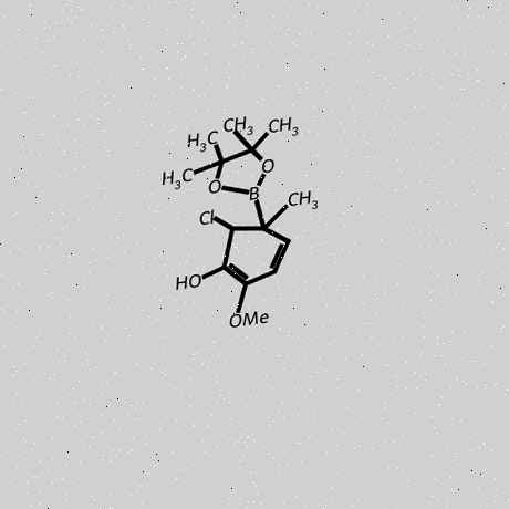 COC1=C(O)C(Cl)C(C)(B2OC(C)(C)C(C)(C)O2)C=C1